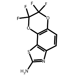 Nc1nc2ccc3c(c2s1)OC(F)(F)C(F)(F)O3